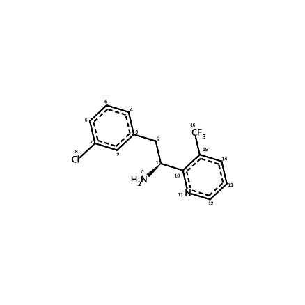 N[C@@H](Cc1cccc(Cl)c1)c1ncccc1C(F)(F)F